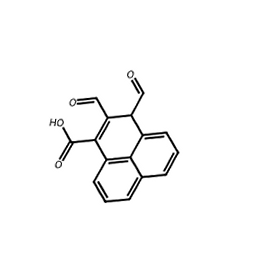 O=CC1=C(C(=O)O)c2cccc3cccc(c23)C1C=O